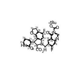 CC(C)(C)OC(=O)n1cnc2cc(F)c(CN3c4cc(F)c5c(c4C(c4ccc[nH]c4=O)C3C(=O)O)OCC5)cc2c1=O